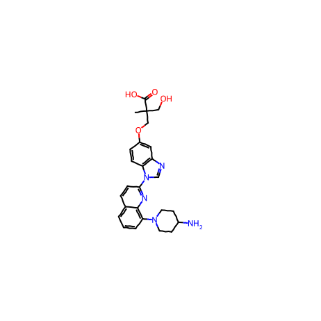 CC(CO)(COc1ccc2c(c1)ncn2-c1ccc2cccc(N3CCC(N)CC3)c2n1)C(=O)O